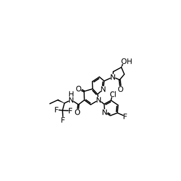 CC[C@@H](NC(=O)c1cn(-c2ncc(F)cc2Cl)c2nc(N3C[C@@H](O)CC3=O)ccc2c1=O)C(F)(F)F